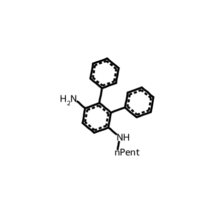 CCCCCNc1ccc(N)c(-c2ccccc2)c1-c1ccccc1